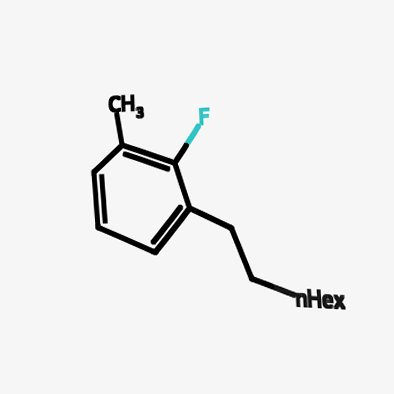 CCCCCCCCc1cccc(C)c1F